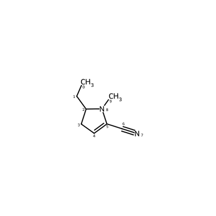 CCC1CC=C(C#N)N1C